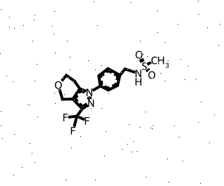 CS(=O)(=O)NCc1ccc(-n2nc(C(F)(F)F)c3c2CCOC3)cc1